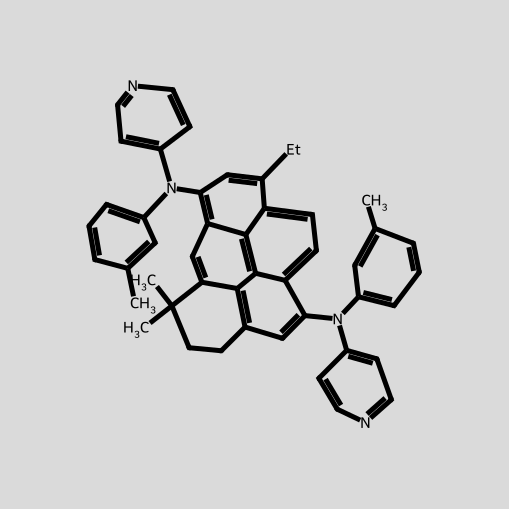 CCc1cc(N(c2ccncc2)c2cccc(C)c2)c2cc3c4c(cc(N(c5ccncc5)c5cccc(C)c5)c5ccc1c2c54)CCC3(C)C